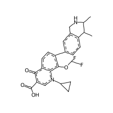 CC1NCc2cc(-c3ccc4c(=O)c(C(=O)O)cn(C5CC5)c4c3OC(F)F)ccc2C1C